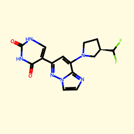 O=c1[nH]cc(-c2cc(N3CC[C@@H](C(F)F)C3)c3nccn3n2)c(=O)[nH]1